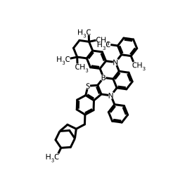 Cc1cccc(C)c1N1c2cc3c(cc2B2c4sc5ccc(CC6CC7CC(C)CC6C7)cc5c4N(c4ccccc4)c4cccc1c42)C(C)(C)CCC3(C)C